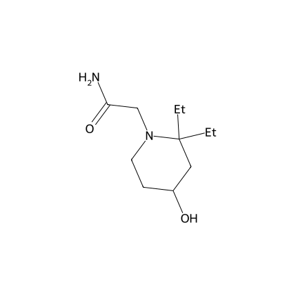 CCC1(CC)CC(O)CCN1CC(N)=O